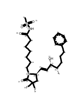 C[C@@H](CCCc1ccccc1)[C@@H](O)C=C[C@H]1CC(F)(F)C(=O)N1CCCCCCC(=O)NS(C)(=O)=O